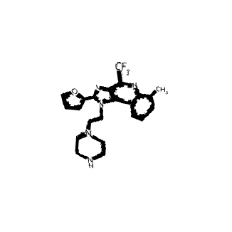 Cc1cccc2c1nc(C(F)(F)F)c1nc(-c3ccco3)n(CCN3CCNCC3)c12